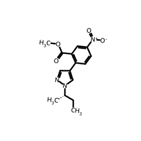 CC[C@H](C)n1cc(-c2ccc([N+](=O)[O-])cc2C(=O)OC)cn1